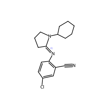 N#Cc1cc(Cl)ccc1/N=C1\CCCN1C1CCCCC1